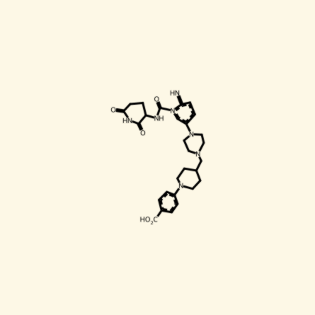 N=c1ccc(N2CCN(CC3CCN(c4ccc(C(=O)O)cc4)CC3)CC2)cn1C(=O)NC1CCC(=O)NC1=O